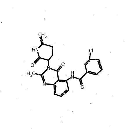 C=C1CCC(n2c(C)nc3cccc(NC(=O)c4cccc(Cl)c4)c3c2=O)C(=O)N1